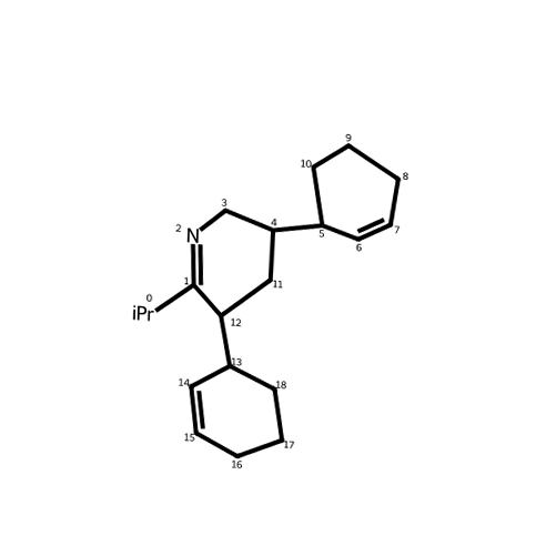 CC(C)C1=NCC(C2C=CCCC2)CC1C1C=CCCC1